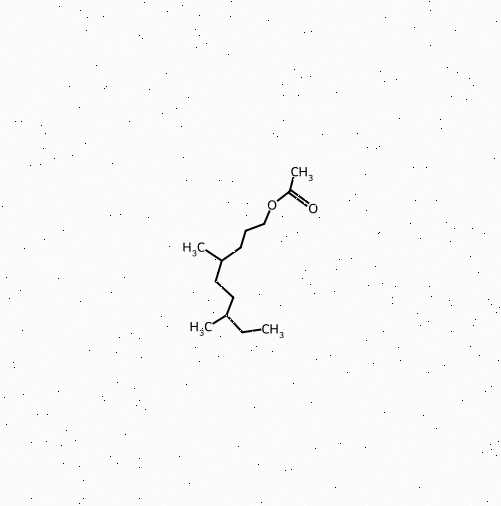 CCC(C)CCC(C)CCCOC(C)=O